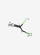 [CH]=C(F)CCl